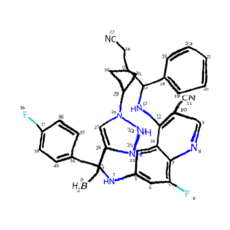 BC(Nc1cc(F)c2ncc(C#N)c(NC(CCC#N)c3ccccc3)c2c1)(C1=CN(C2CC2)NN1)c1ccc(F)cc1